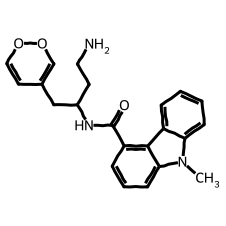 Cn1c2ccccc2c2c(C(=O)NC(CCN)CC3=COOC=C3)cccc21